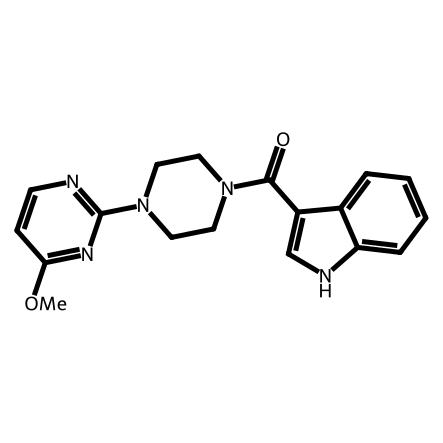 COc1ccnc(N2CCN(C(=O)c3c[nH]c4ccccc34)CC2)n1